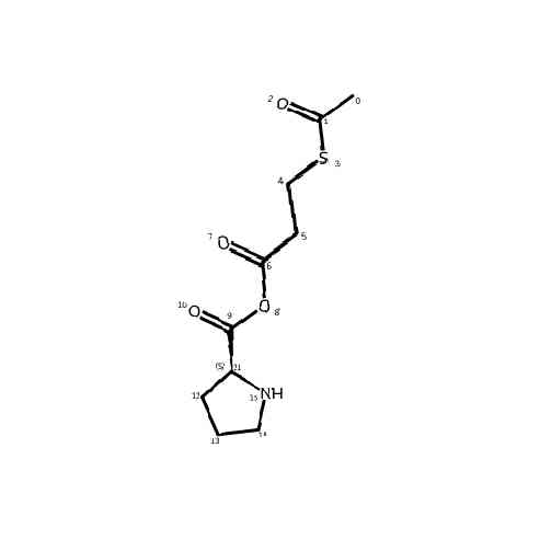 CC(=O)SCCC(=O)OC(=O)[C@@H]1CCCN1